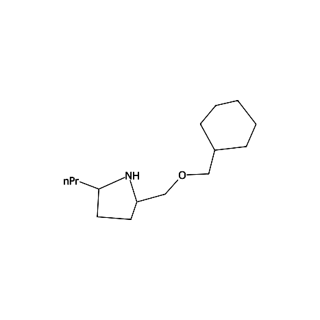 CCCC1CCC(COCC2CCCCC2)N1